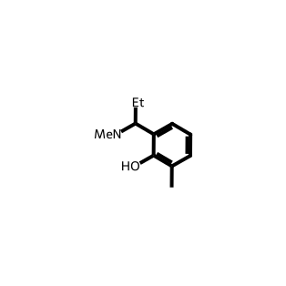 CCC(NC)c1cccc(C)c1O